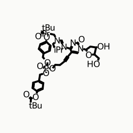 CC(C)CN(/C=N/c1nc(=O)n(C2CC(O)C(CO)O2)cc1C#CCCOP(=O)(OCc1ccc(OC(=O)C(C)(C)C)cc1)OCc1ccc(OC(=O)C(C)(C)C)cc1)CC(C)C